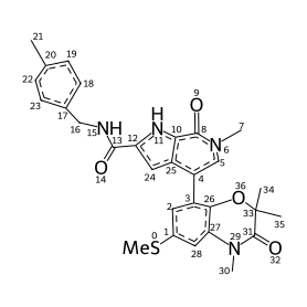 CSc1cc(-c2cn(C)c(=O)c3[nH]c(C(=O)NCc4ccc(C)cc4)cc23)c2c(c1)N(C)C(=O)C(C)(C)O2